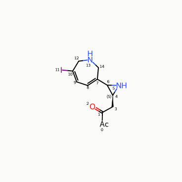 CC(=O)C(=O)C[C@@H]1NC1C1=CC=C(I)CNC1